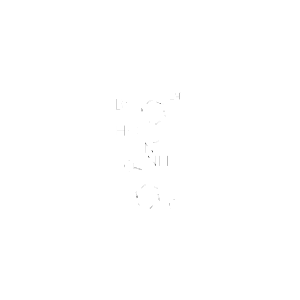 C/C(=N\NC(=O)c1cccc(Cl)c1)c1cc(Br)cc(Br)c1O